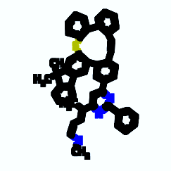 C=N/C=C\C=C(/C)c1cc(-c2ccc3c(c2)-c2cc4c(cc2Sc2ccccc2-c2ccccc2/C=C\3)C(C)(C)c2ccccc2-4)nc(-c2ccccc2)n1